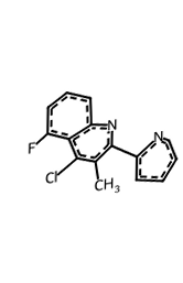 Cc1c(-c2ccccn2)nc2cccc(F)c2c1Cl